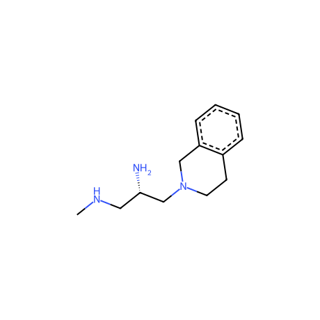 CNC[C@H](N)CN1CCc2ccccc2C1